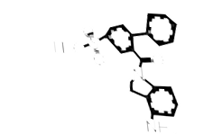 CS(=O)(=O)c1ccc(-c2ccccc2)c(C(=O)N2CCc3c(N)cccc32)c1